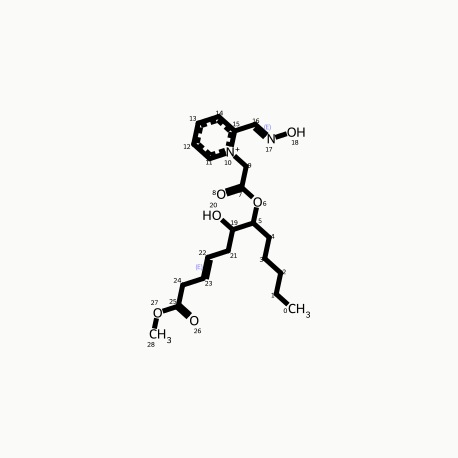 CCCCCC(OC(=O)C[n+]1ccccc1/C=N/O)C(O)C/C=C/CC(=O)OC